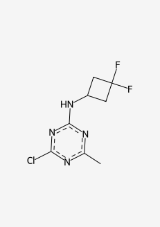 Cc1nc(Cl)nc(NC2CC(F)(F)C2)n1